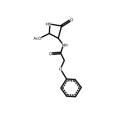 CC(=O)OC1NC(=O)C1NC(=O)COc1ccccc1